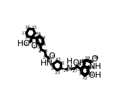 O=C(CCCc1cccc(C2(C(=O)O)CCCCC2)c1)N[C@H]1CC[C@H](CNCC(O)c2ccc(O)c3[nH]c(=O)ccc23)CC1